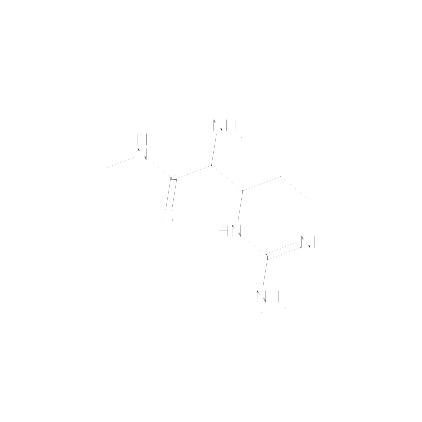 [CH2]NC(=O)C(N)C(CC)NC(=N)N